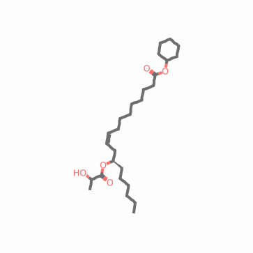 CCCCCC[C@H](C/C=C\CCCCCCCC(=O)OC1CCCCC1)OC(=O)C(C)O